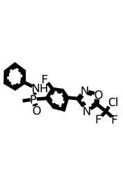 CP(=O)(Nc1ccccc1)c1ccc(-c2noc(C(F)(F)Cl)n2)cc1F